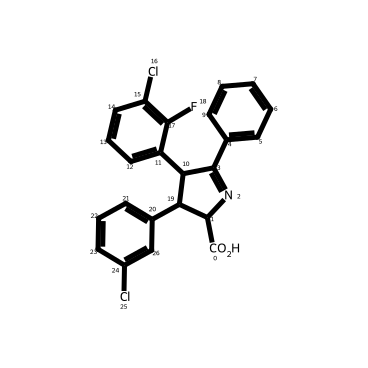 O=C(O)C1N=C(c2ccccc2)C(c2cccc(Cl)c2F)C1c1cccc(Cl)c1